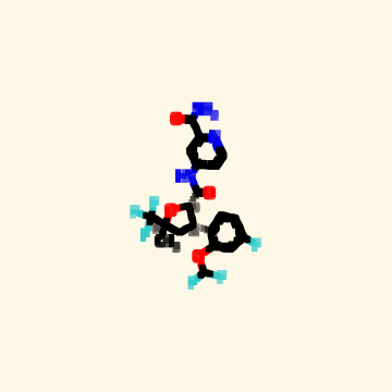 C[C@]1(C(F)(F)F)C[C@@H](c2ccc(F)cc2OC(F)F)[C@@H](C(=O)Nc2ccnc(C(N)=O)c2)O1